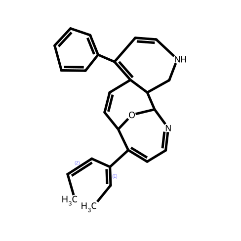 C/C=C\C(=C/C)C1=CC=NC2OC1C=CC1=C(c3ccccc3)C=CNCC12